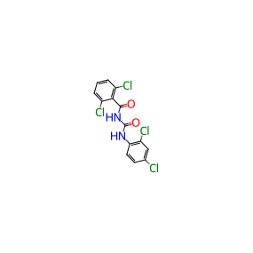 O=C(NC(=O)c1c(Cl)cccc1Cl)Nc1ccc(Cl)cc1Cl